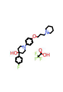 O=C(O)C(F)(F)F.OC1(c2ccc(F)cc2)CCN(c2ccc(OCCCN3CCCCC3)cc2)CC1